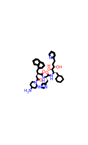 NC1CCN(C(=O)C[C@@H](Cc2cccc3ccccc23)C(=O)N[C@@H](Cc2c[nH]cn2)C(=O)N[C@@H](CC2CCCCC2)[C@@H](O)[C@@H](O)CCc2ccccn2)CC1